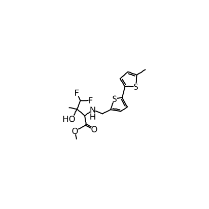 COC(=O)C(NCc1ccc(-c2ccc(C)s2)s1)C(C)(O)C(F)F